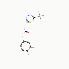 CCCCCCCC(C)(C)c1nnc(NC(=O)Nc2ccc(Cl)c(Cl)c2)s1